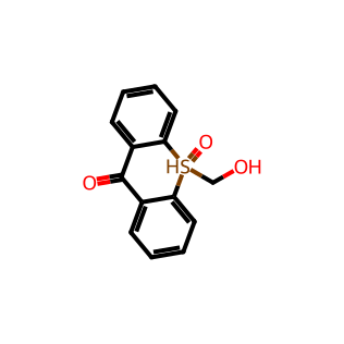 O=C1c2ccccc2[SH](=O)(CO)c2ccccc21